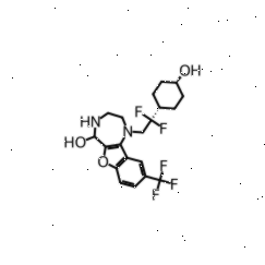 OC1NCCN(CC(F)(F)[C@H]2CC[C@H](O)CC2)c2c1oc1ccc(C(F)(F)F)cc21